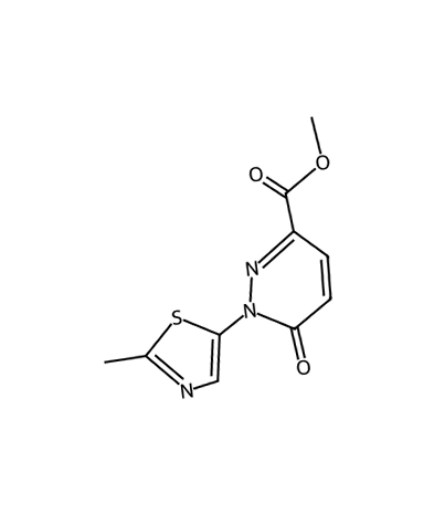 COC(=O)c1ccc(=O)n(-c2cnc(C)s2)n1